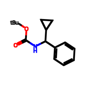 CC(C)(C)OC(=O)NC(c1ccccc1)C1CC1